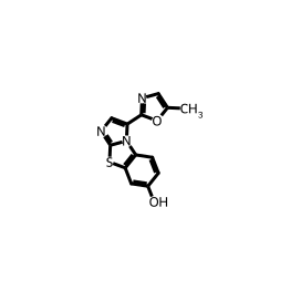 Cc1cnc(-c2cnc3sc4cc(O)ccc4n23)o1